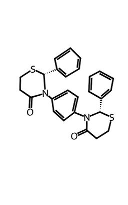 O=C1CCS[C@H](c2ccccc2)N1c1ccc(N2C(=O)CCS[C@H]2c2ccccc2)cc1